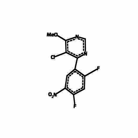 COc1ncnc(-c2cc([N+](=O)[O-])c(F)cc2F)c1Cl